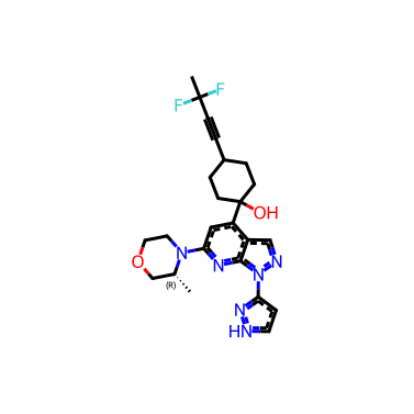 C[C@@H]1COCCN1c1cc(C2(O)CCC(C#CC(C)(F)F)CC2)c2cnn(-c3cc[nH]n3)c2n1